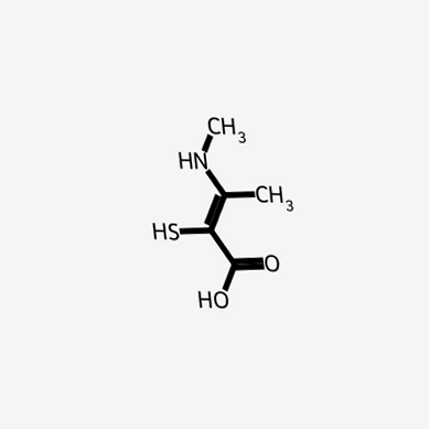 CN/C(C)=C(\S)C(=O)O